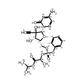 C#CC1(O)[C@@H](O)[C@@H](CO[P@](=O)(Oc2ccccc2)O[C@@H](C)C(=O)OC(C)C)O[C@H]1n1ncc(N)nc1=O